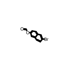 O=COc1ccc2cc(Br)ccc2c1